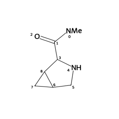 CNC(=O)C1NCC2CC21